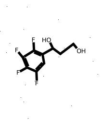 OCCC(O)c1cc(F)c(F)c(F)c1F